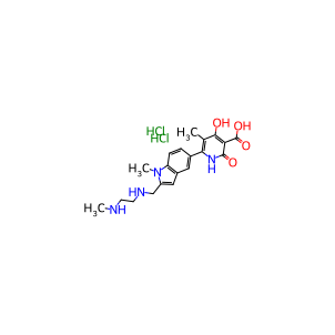 CNCCNCc1cc2cc(-c3[nH]c(=O)c(C(=O)O)c(O)c3C)ccc2n1C.Cl.Cl